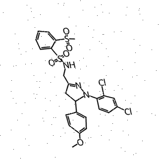 COc1ccc(C2CC(CNS(=O)(=O)c3ccccc3S(C)(=O)=O)=NN2c2ccc(Cl)cc2Cl)cc1